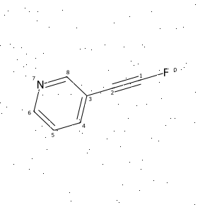 FC#Cc1c[c]cnc1